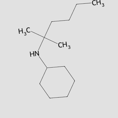 CCCCC(C)(C)NC1CCCCC1